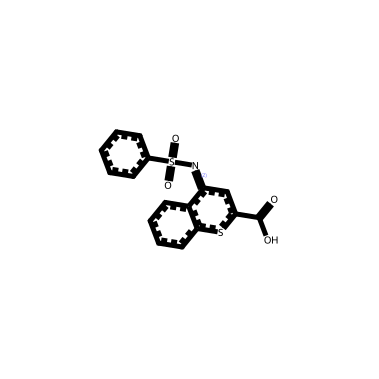 O=C(O)c1c/c(=N/S(=O)(=O)c2ccccc2)c2ccccc2s1